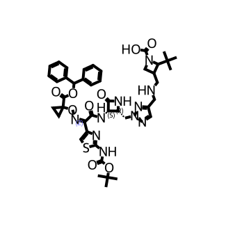 CC(C)(C)OC(=O)Nc1nc(/C(=N/OC2(C(=O)OC(c3ccccc3)c3ccccc3)CC2)C(=O)N[C@@H]2C(=O)N[C@@H]2Cn2ncc(CNCC3CN(C(=O)O)C3C(C)(C)C)n2)cs1